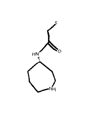 O=C(CF)N[C@H]1CCCNCC1